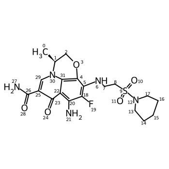 C[C@H]1COc2c(NCCS(=O)(=O)N3CCCCC3)c(F)c(N)c3c(=O)c(C(N)=O)cn1c23